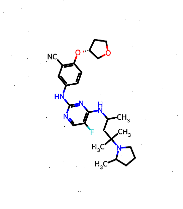 CC(CC(C)(C)N1CCCC1C)Nc1nc(Nc2ccc(O[C@@H]3CCOC3)c(C#N)c2)ncc1F